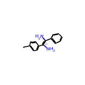 Cc1ccc(/C(N)=C(\N)c2ccccc2)cc1